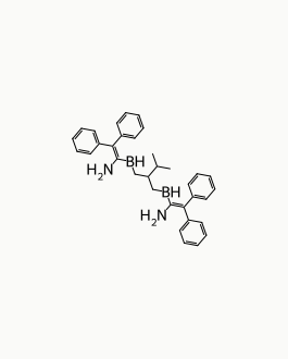 CC(C)C(CBC(N)=C(c1ccccc1)c1ccccc1)CBC(N)=C(c1ccccc1)c1ccccc1